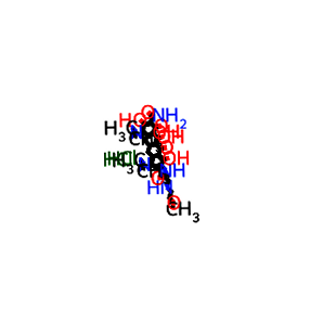 COCCNCC(=O)Nc1cc(N(C)C)c2c(c1O)C(=O)C1=C(O)[C@]3(O)C(=O)C(C(N)=O)=C(O)[C@@H](N(C)C)C3CC1C2.Cl.Cl